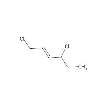 CCC(Cl)C=CCCl